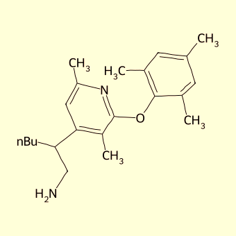 CCCCC(CN)c1cc(C)nc(Oc2c(C)cc(C)cc2C)c1C